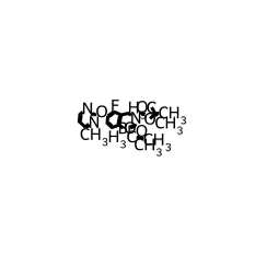 Cc1ccnc(Oc2ccc(Br)c(CN(C(=O)OC(C)(C)C)C(=O)OC(C)(C)C)c2F)n1